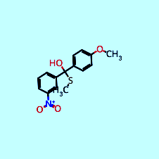 COc1ccc(C(O)(SC)c2cccc([N+](=O)[O-])c2)cc1